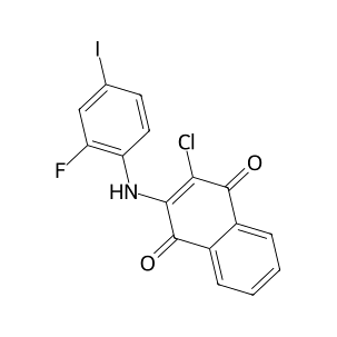 O=C1C(Cl)=C(Nc2ccc(I)cc2F)C(=O)c2ccccc21